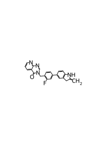 C=C1Cc2cc(-c3ccc(Cn4cnc5ncccc5c4=O)c(F)c3)ccc2N1